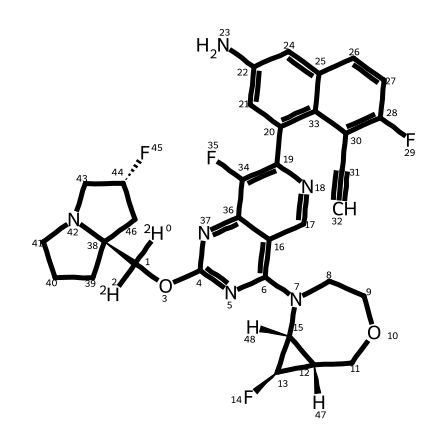 [2H]C([2H])(Oc1nc(N2CCOC[C@@H]3[C@@H](F)[C@@H]32)c2cnc(-c3cc(N)cc4ccc(F)c(C#C)c34)c(F)c2n1)[C@@]12CCCN1C[C@H](F)C2